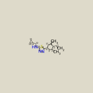 C=Cc1c(C)cc(-c2nnc(NCC3CC3)s2)cc1C